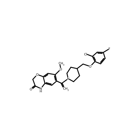 C=C(c1cc2c(cc1OC)OCC(=O)N2)N1CCC(COc2ccc(F)cc2Cl)CC1